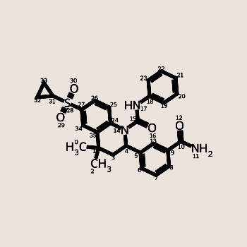 CC1(C)CC(c2cccc(C(N)=O)c2)N(C(=O)Nc2ccccc2)c2ccc(S(=O)(=O)C3CC3)cc21